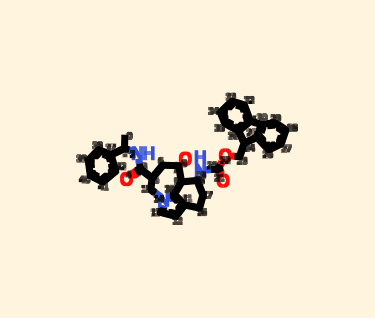 CC(NC(=O)C1CC(=O)C2c3c(ccn3C1)CCC2NC(=O)OCC1c2ccccc2-c2ccccc21)c1ccccc1